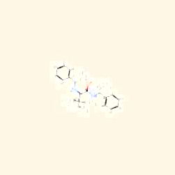 C[C@H](/N=C(\C(=O)N[C@@H](C)c1ccccc1)C(C)(C)C)c1ccccc1